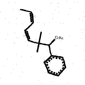 C/C=C\C=C/C(C)(C)C(OC(C)=O)c1ccccc1